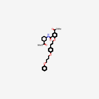 COC(=O)c1ccc(OCC=Cc2ccc(OCCCCOc3ccccc3)cc2)c(C(=O)NC2CCCC(C(=O)OC)C2)c1